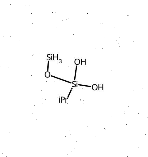 CC(C)[Si](O)(O)O[SiH3]